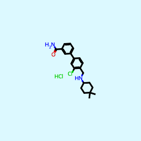 CC1(C)CCC(NCc2ccc(-c3cccc(C(N)=O)c3)cc2Cl)CC1.Cl